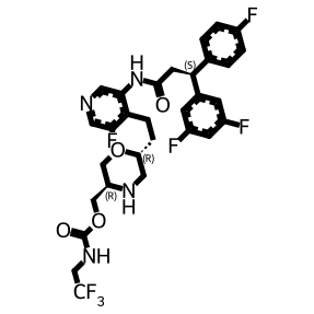 O=C(C[C@@H](c1ccc(F)cc1)c1cc(F)cc(F)c1)Nc1cncc(F)c1CC[C@@H]1CN[C@@H](COC(=O)NCC(F)(F)F)CO1